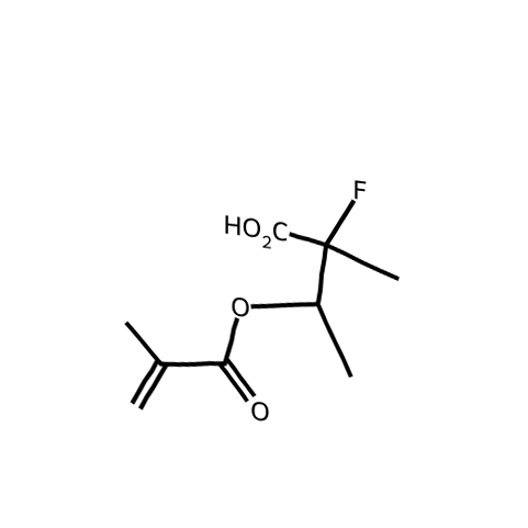 C=C(C)C(=O)OC(C)C(C)(F)C(=O)O